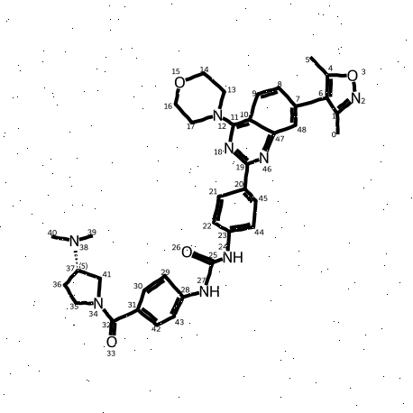 Cc1noc(C)c1-c1ccc2c(N3CCOCC3)nc(-c3ccc(NC(=O)Nc4ccc(C(=O)N5CC[C@H](N(C)C)C5)cc4)cc3)nc2c1